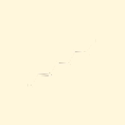 [CH2]/C=N/OCCOC